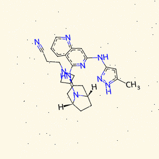 Cc1cc(Nc2cc3ncccc3c(N[C@@H]3C[C@H]4CC[C@@H](C3)N4C3CN(CCC#N)C3)n2)n[nH]1